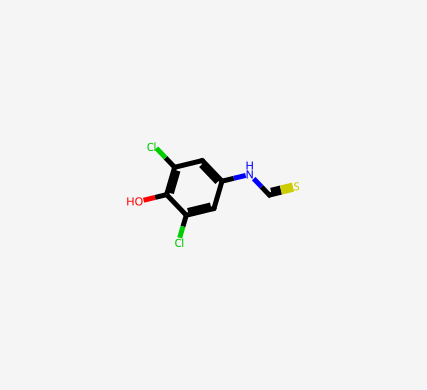 Oc1c(Cl)cc(N[C]=S)cc1Cl